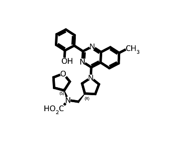 Cc1ccc2c(N3CC[C@@H](CN(C(=O)O)[C@H]4CCOC4)C3)nc(-c3ccccc3O)nc2c1